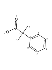 CC(C)(C([O])=O)c1ccccc1